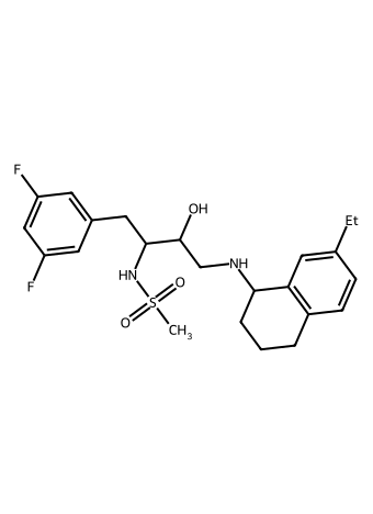 CCc1ccc2c(c1)C(NCC(O)C(Cc1cc(F)cc(F)c1)NS(C)(=O)=O)CCC2